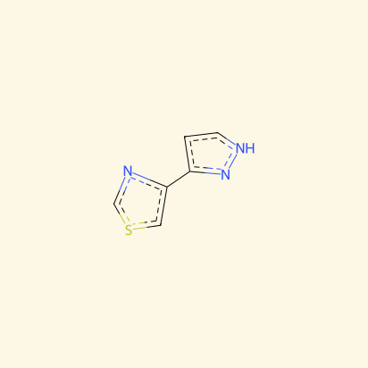 c1cc(-c2cscn2)n[nH]1